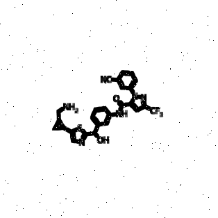 N#Cc1cccc(-n2nc(C(F)(F)F)cc2C(=O)Nc2cccc(C(O)c3ncc(C4CC4CN)s3)c2)c1